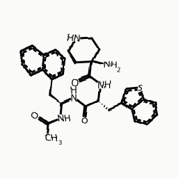 CC(=O)N[C@@H](Cc1cccc2ccccc12)NC(=O)[C@@H](Cc1csc2ccccc12)NC(=O)C1(N)CCNCC1